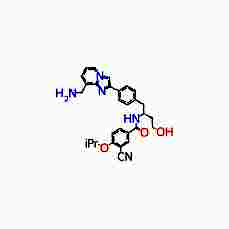 CC(C)Oc1ccc(C(=O)N[C@H](CCO)Cc2ccc(-c3cn4cccc(CN)c4n3)cc2)cc1C#N